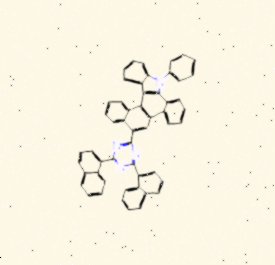 c1ccc(-n2c3ccccc3c3c4c5ccccc5c(-c5nc(-c6cccc7ccccc67)nc(-c6cccc7ccccc67)n5)cc4c4ccccc4c32)cc1